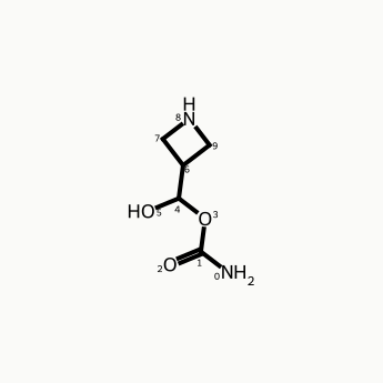 NC(=O)OC(O)C1CNC1